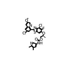 COc1cnc2c(-c3nc4c(Cl)c(F)c(O[C@@H](C)COC(=O)Nc5cnc(C)c(C)c5)cc4s3)cc(Cl)cc2c1